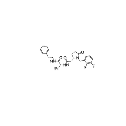 CC(C)C(NC(=O)C[C@@H]1CCC(=O)N1Cc1cccc(F)c1F)C(=O)NCCc1ccccc1